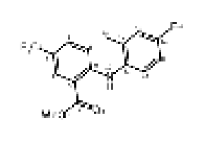 COC(=O)c1cc(C(F)(F)F)ccc1Nc1ccc(F)cc1C